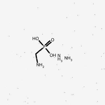 N.N.NCP(=O)(O)O